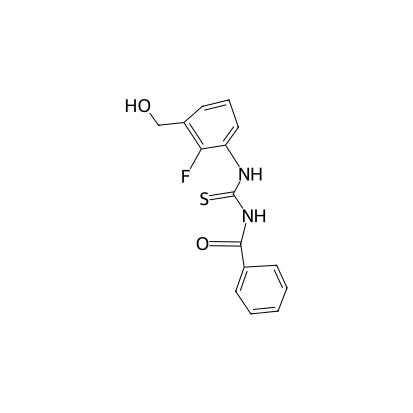 O=C(NC(=S)Nc1cccc(CO)c1F)c1ccccc1